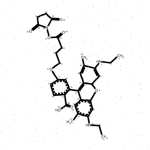 CCNC1=CC2Oc3cc(NCC)c(C)cc3C(c3cc(OCCCC(=O)ON4C(=O)CCC4=O)ccc3C(=O)O)=C2C=C1C